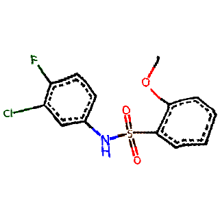 COc1ccccc1S(=O)(=O)Nc1ccc(F)c(Cl)c1